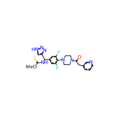 COC(=S)NC(c1cc(F)c(N2CCN(C(=O)Cc3cccnc3)CC2)c(F)c1)c1c[nH]nn1